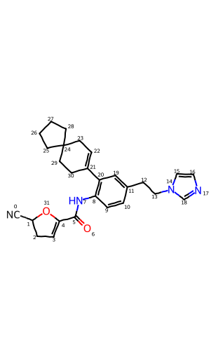 N#CC1CC=C(C(=O)Nc2ccc(CCn3ccnc3)cc2C2=CCC3(CCCC3)CC2)O1